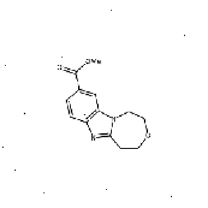 COC(=O)c1ccc2nc3n(c2c1)CCOCC3